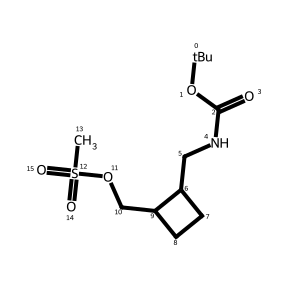 CC(C)(C)OC(=O)NCC1CCC1COS(C)(=O)=O